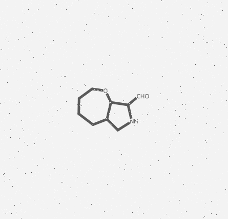 O=CC1NCC2CCCCOC21